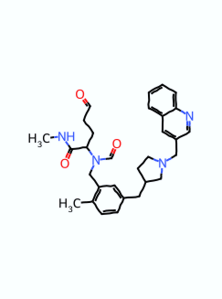 CNC(=O)C(CCC=O)N(C=O)Cc1cc(CC2CCN(Cc3cnc4ccccc4c3)C2)ccc1C